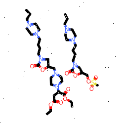 CCCN1CCN(CCCCN2CC(CN3CCN(C(CC(=O)OCC)C(=O)OCC)CC3)OC2=O)CC1.CCCN1CCN(CCCCN2CC(COS(C)(=O)=O)OC2=O)CC1